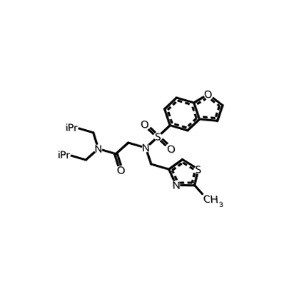 Cc1nc(CN(CC(=O)N(CC(C)C)CC(C)C)S(=O)(=O)c2ccc3occc3c2)cs1